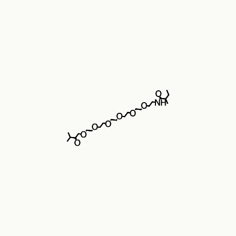 CCC(C)C(=O)NCCOCCOCCOCCOCCOCCOCC(=O)C(C)C